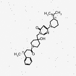 C[C@H](CC(=O)N1CCC(O)(Cn2cnc(N3CCC[C@H](N(C)C)C3)cc2=O)CC1)c1ccccc1